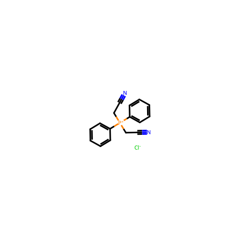 N#CC[P+](CC#N)(c1ccccc1)c1ccccc1.[Cl-]